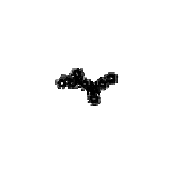 CC1(C)c2ccccc2-c2ccc3c(c21)c1ccccc1n3-c1ccc(-c2nc(-c3ccccc3)nc(-c3ccc(-c4ccccc4)cc3)n2)cc1